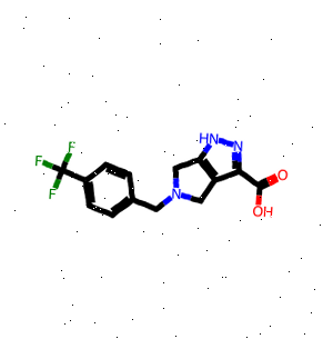 O=C(O)c1n[nH]c2c1CN(Cc1ccc(C(F)(F)F)cc1)C2